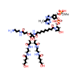 COP(=O)(O)OC[C@H]1C[C@@H](n2cnc3c(C)ncnc32)C[C@@H]1OP(=O)(O)OC[C@@H]1C[C@@H](O)CN1C(=O)CCCCCCCCC(=O)NC(COCCC(=O)NCCCN)(COCCC(=O)NCCCNC(=O)CCCCO)COCCC(=O)NCCCNC(=O)CCCCO